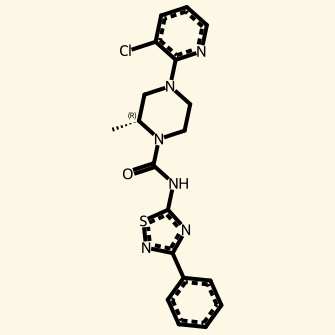 C[C@@H]1CN(c2ncccc2Cl)CCN1C(=O)Nc1nc(-c2ccccc2)ns1